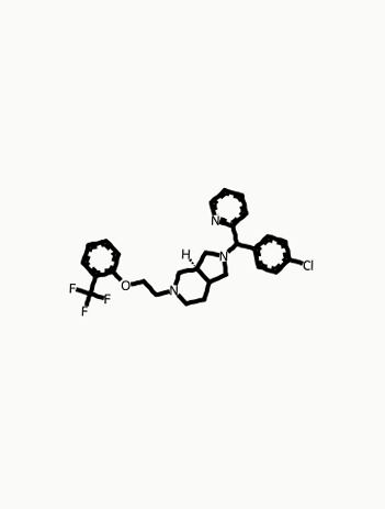 FC(F)(F)c1ccccc1OCCN1CCC2CN(C(c3ccc(Cl)cc3)c3ccccn3)C[C@@H]2C1